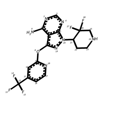 Nc1ncnc2c1c(Oc1cc(C(F)(F)F)ccn1)nn2C1CCNCC1(F)F